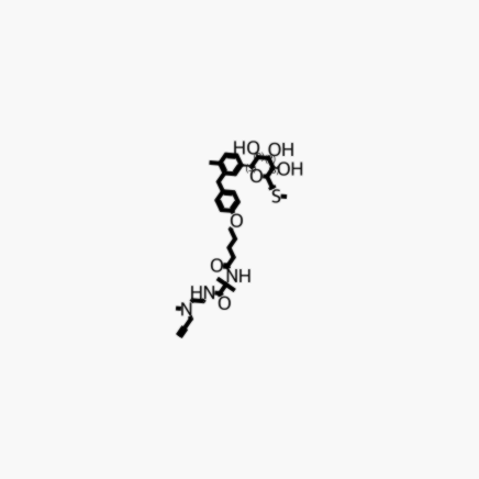 C#CCN(C)CCNC(=O)C(C)(C)NC(=O)CCCCOc1ccc(Cc2cc([C@@H]3OC(C#SC)[C@@H](O)[C@H](O)[C@H]3O)ccc2C)cc1